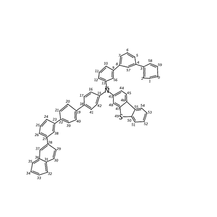 c1ccc(-c2cccc(-c3cccc(N(c4ccc(-c5ccc(-c6cccc(-c7ccc8ccccc8c7)c6)cc5)cc4)c4ccc5c(c4)sc4ccccc45)c3)c2)cc1